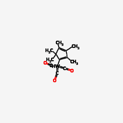 CC1=C(C)C(C)(C)[C]([WH](=[C]=O)(=[C]=O)=[C]=O)=C1C